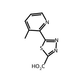 Cc1cccnc1-c1nnc(C(=O)O)s1